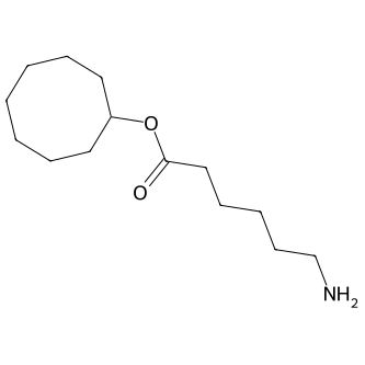 NCCCCCC(=O)OC1CCCCCCC1